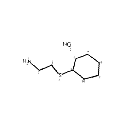 Cl.NCCSC1CCCCC1